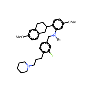 CCN(Cc1ccc(CCCN2CCCCC2)c(F)c1)c1cc(OC)ccc1C1CCc2cc(OC)ccc2C1